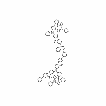 CC1(C)c2cc(-c3ccccc3)ccc2-c2ccc(N(c3ccc4c(c3)C(C)(C)c3cc(-c5cccc(-c6ccc(-c7ccc8c(c7)C(C)(C)c7cc(N(c9ccccc9)c9ccc%10c(c9)C9(c%11ccccc%11-%10)c%10ccccc%10N(c%10ccccc%10)c%10ccccc%109)ccc7-8)c7ccccc67)c5)ccc3-4)c3ccc4c(c3)C3(c5ccccc5-4)c4ccccc4N(c4ccccc4)c4ccccc43)cc21